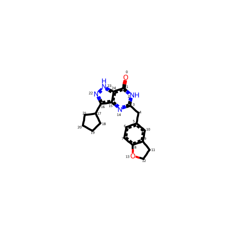 O=c1[nH]c(Cc2ccc3c(c2)CCO3)nc2c(C3CCCC3)n[nH]c12